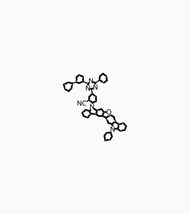 N#Cc1cc(-c2nc(-c3ccccc3)nc(-c3cccc(-c4ccccc4)c3)n2)ccc1-n1c2ccccc2c2cc3c(cc21)oc1cc2c4ccccc4n(-c4ccccc4)c2cc13